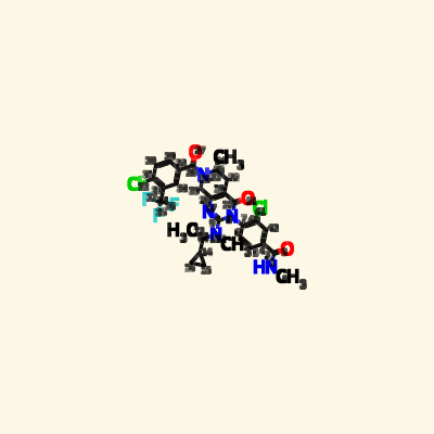 CNC(=O)c1ccc(-n2c(N(C)[C@@H](C)C3CC3)nc3c(c2=O)C[C@@H](C)N(C(=O)c2ccc(Cl)c(C(F)(F)F)c2)C3)c(Cl)c1